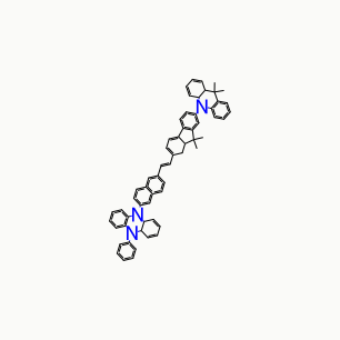 CC1(C)c2cc(N3c4ccccc4C(C)(C)C4C=CC=CC43)ccc2C2=CC=C(/C=C/c3ccc4cc(N5c6ccccc6N(c6ccccc6)C6C=CC=CC65)ccc4c3)CC21